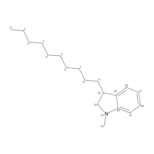 CCCCCCCCCCC1CN(C)c2ccccc21